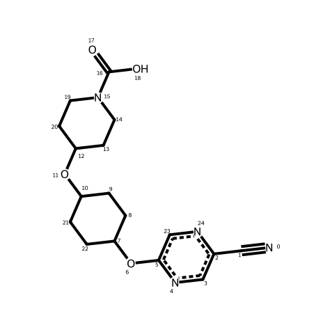 N#Cc1cnc(OC2CCC(OC3CCN(C(=O)O)CC3)CC2)cn1